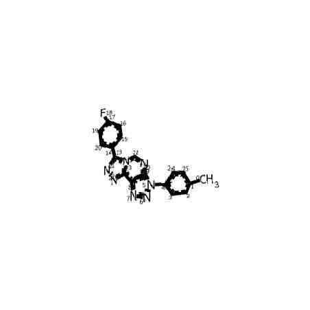 Cc1ccc(-n2nnc3c2ncn2c(-c4ccc(F)cc4)nnc32)cc1